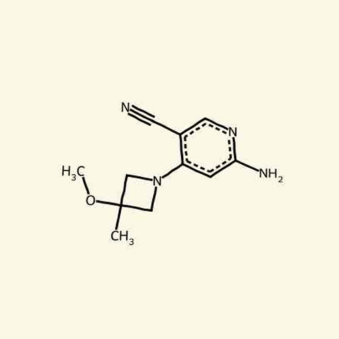 COC1(C)CN(c2cc(N)ncc2C#N)C1